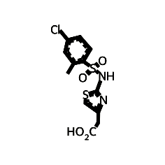 Cc1cc(Cl)ccc1S(=O)(=O)Nc1nc(CC(=O)O)cs1